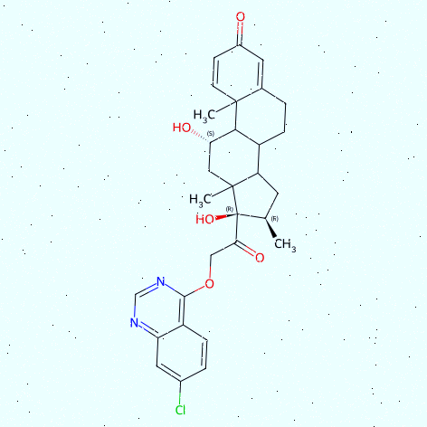 C[C@@H]1CC2C3CCC4=CC(=O)C=CC4(C)C3[C@@H](O)CC2(C)[C@@]1(O)C(=O)COc1ncnc2cc(Cl)ccc12